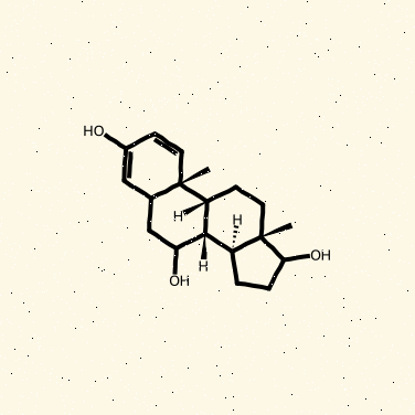 C[C@]12C=CC(O)=CC1CC(O)[C@@H]1[C@H]2CC[C@]2(C)C(O)CC[C@@H]12